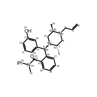 C=CCN1C[C@H](C)N([C@H](c2cccc(O)c2)c2ccccc2C(=O)N(C)C(C)C)C[C@H]1C